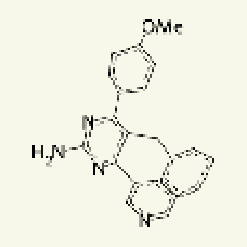 COc1ccc(-c2nc(N)nc(-c3cccnc3)c2Cc2ccccc2)cc1